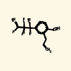 C=CCc1cc(C(F)(F)C(F)(F)C(F)F)ccc1O